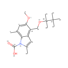 COc1cc(C)c2c(cc(C)n2C(=O)O)c1CO[Si](C)(C)C(C)(C)C